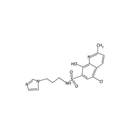 Cc1ccc2c(Cl)cc(S(=O)(=O)NCCCn3ccnc3)c(O)c2n1